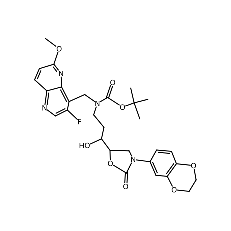 COc1ccc2ncc(F)c(CN(CCC(O)C3CN(c4ccc5c(c4)OCCO5)C(=O)O3)C(=O)OC(C)(C)C)c2n1